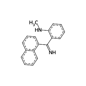 CNc1ccccc1C(=N)c1cccc2ccccc12